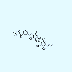 CO[C@H]1O[C@H](CO)[C@@H](O)[C@H](O)[C@H]1NC(=O)c1cc(Cl)c(OCc2cccc(NC(=O)OC(C)(C)C)c2)c(Cl)c1C